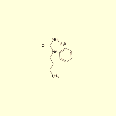 CCCCNC(N)=O.S.c1ccccc1